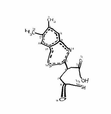 Cc1cc2nc(C(CC(=O)S)C(=O)O)sc2cc1C